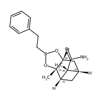 C[C@@]12OB([CH]Cc3ccccc3)O[C@@H]1C[C@@H]1C[C@H]2[C@]1(C)C(N)=O